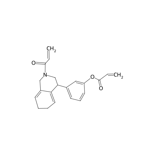 C=CC(=O)Oc1cccc(C2CN(C(=O)C=C)CC3=CCCC=C32)c1